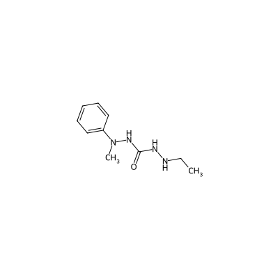 CCNNC(=O)NN(C)c1ccccc1